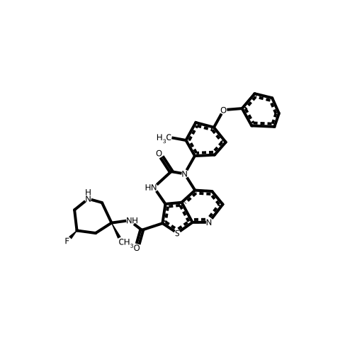 Cc1cc(Oc2ccccc2)ccc1N1C(=O)Nc2c(C(=O)N[C@@]3(C)CNC[C@H](F)C3)sc3nccc1c23